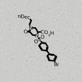 CCCCCCCCCCCCN1CC(C(=O)O)N(S(=O)(=O)c2ccc(-c3ccc(Br)cc3)cc2)CC1=O